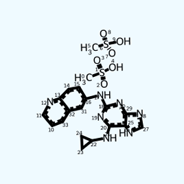 CS(=O)(=O)O.CS(=O)(=O)O.c1cnc2ccc(Nc3nc(NC4CC4)c4[nH]cnc4n3)cc2c1